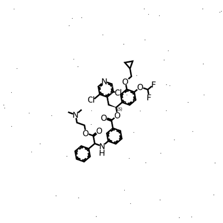 CN(C)CCOC(=O)C(Nc1cccc(C(=O)O[C@@H](Cc2c(Cl)cncc2Cl)c2ccc(OC(F)F)c(OCC3CC3)c2)c1)c1ccccc1